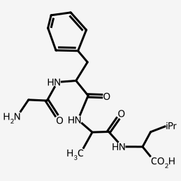 CC(C)CC(NC(=O)C(C)NC(=O)C(Cc1ccccc1)NC(=O)CN)C(=O)O